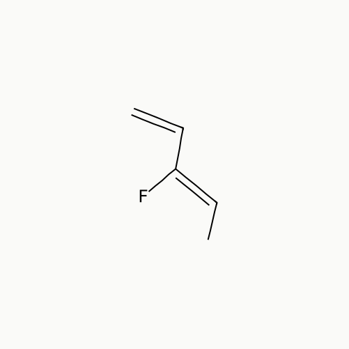 C=C/C(F)=C/C